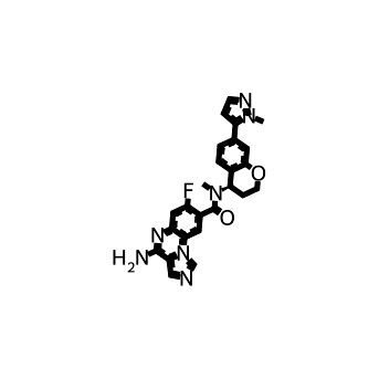 CN(C(=O)c1cc2c(cc1F)nc(N)c1cncn12)[C@@H]1CCOc2cc(-c3ccnn3C)ccc21